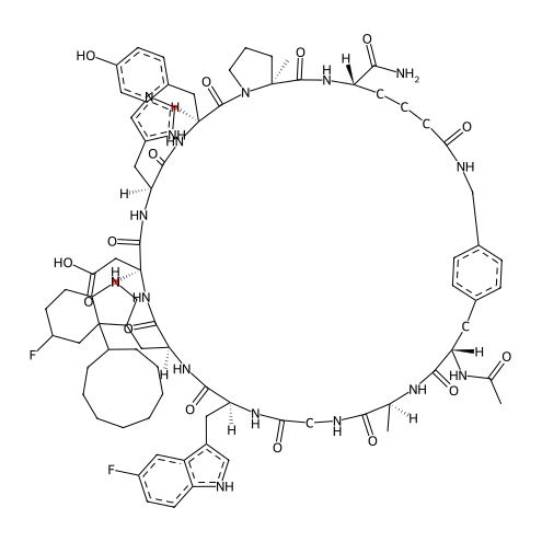 CC(=O)N[C@H]1Cc2ccc(cc2)CNC(=O)CCC[C@@H](C(N)=O)NC(=O)[C@]2(C)CCCN2C(=O)[C@H](Cc2ccc(O)cc2)NC(=O)[C@H](Cc2cnc[nH]2)NC(=O)[C@H](CC(=O)O)NC(=O)[C@H](CC2CNC3CCC(F)CC23C2CCCCCCCC2)NC(=O)[C@H](Cc2c[nH]c3ccc(F)cc23)NC(=O)CNC(=O)[C@H](C)NC1=O